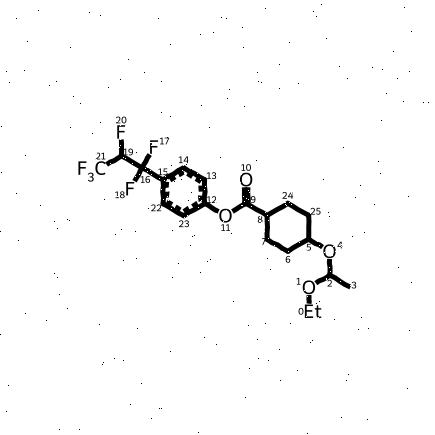 CCOC(C)OC1CCC(C(=O)Oc2ccc(C(F)(F)C(F)C(F)(F)F)cc2)CC1